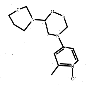 Cc1cc(N2CSOC(N3CCCCC3)C2)cc[n+]1[O-]